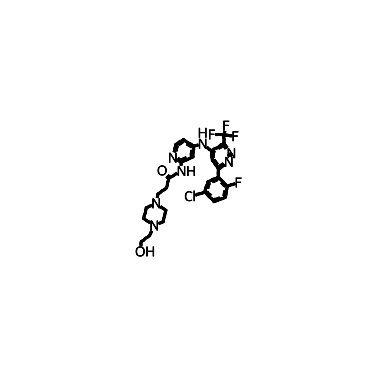 O=C(CCN1CCN(CCO)CC1)Nc1cc(Nc2cc(-c3cc(Cl)ccc3F)nnc2C(F)(F)F)ccn1